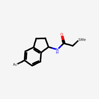 CSCC(=O)NC1CCc2cc(C(C)=O)ccc21